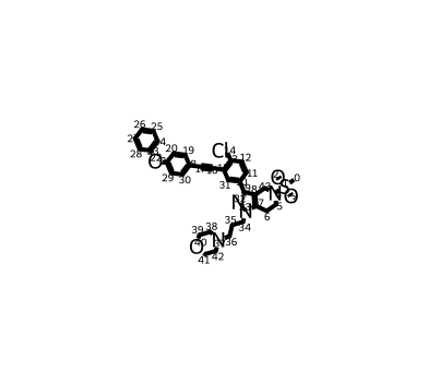 CS(=O)(=O)N1CCc2c(c(-c3ccc(Cl)c(C#Cc4ccc(Oc5ccccc5)cc4)c3)nn2CCCN2CCOCC2)C1